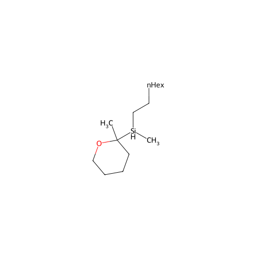 CCCCCCCC[SiH](C)C1(C)CCCCO1